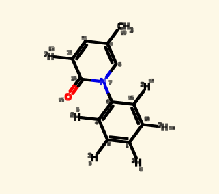 [2H]c1c([2H])c([2H])c(-n2cc(C)cc([2H])c2=O)c([2H])c1[2H]